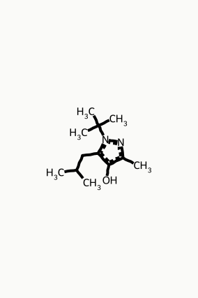 Cc1nn(C(C)(C)C)c(CC(C)C)c1O